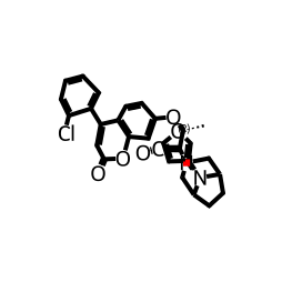 C[C@@H](Oc1ccc2c(-c3ccccc3Cl)cc(=O)oc2c1)C(=C=O)N1CC2CCC(C1)N2c1ccoc1